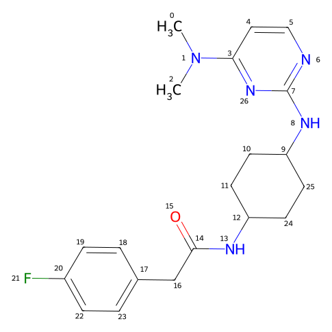 CN(C)c1ccnc(NC2CCC(NC(=O)Cc3ccc(F)cc3)CC2)n1